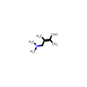 C/C(C=O)=C(/C)CN(C)C